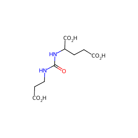 O=C(O)CCNC(=O)NC(CCC(=O)O)C(=O)O